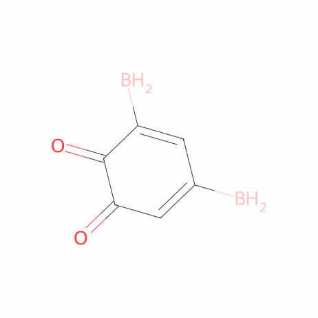 BC1=CC(=O)C(=O)C(B)=C1